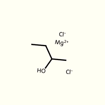 CCC(C)O.[Cl-].[Cl-].[Mg+2]